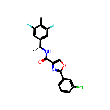 Cc1c(F)cc([C@@H](C)NC(=O)c2coc(-c3cccc(Cl)c3)n2)cc1F